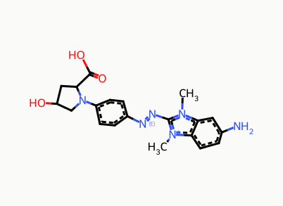 Cn1c(/N=N/c2ccc(N3CC(O)CC3C(=O)O)cc2)[n+](C)c2ccc(N)cc21